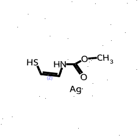 COC(=O)N/C=C\S.[Ag]